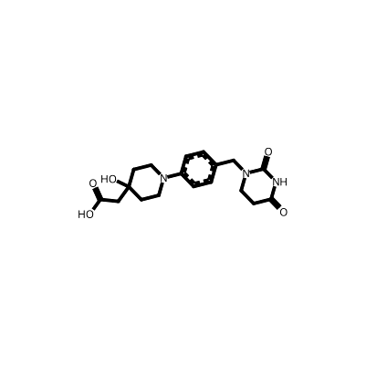 O=C(O)CC1(O)CCN(c2ccc(CN3CCC(=O)NC3=O)cc2)CC1